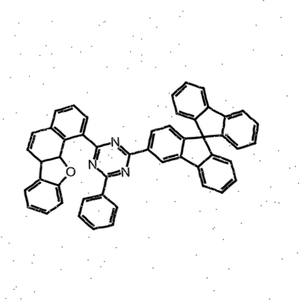 C1=CC2c3ccccc3OC2c2c1cccc2-c1nc(-c2ccccc2)nc(-c2ccc3c(c2)-c2ccccc2C32c3ccccc3-c3ccccc32)n1